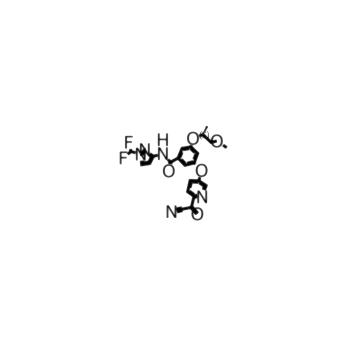 COC[C@H](C)Oc1cc(Oc2ccc(C(=O)C#N)nc2)cc(C(=O)Nc2ccn(C(F)F)n2)c1